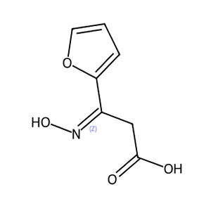 O=C(O)C/C(=N/O)c1ccco1